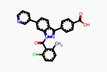 Cc1cccc(Cl)c1C(=O)n1nc(-c2ccc(C(=O)O)cc2)c2ccc(-c3cccnc3)cc21